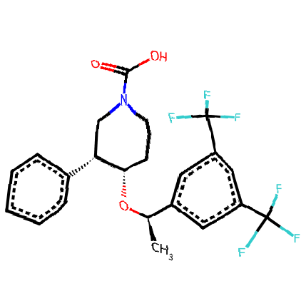 C[C@@H](O[C@H]1CCN(C(=O)O)C[C@H]1c1ccccc1)c1cc(C(F)(F)F)cc(C(F)(F)F)c1